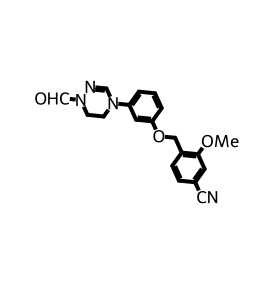 COc1cc(C#N)ccc1COc1cccc(N2C=NN(C=O)CC2)c1